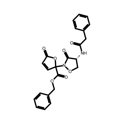 O=C(Cc1ccccc1)N[C@@H]1CON(C2(C(=O)OCc3ccccc3)C=CC(=O)O2)C1=O